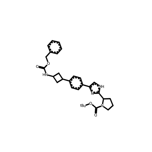 CC(C)(C)OC(=O)N1CCCC1c1nc(-c2ccc(C3CC(NC(=O)OCc4ccccc4)C3)cc2)c[nH]1